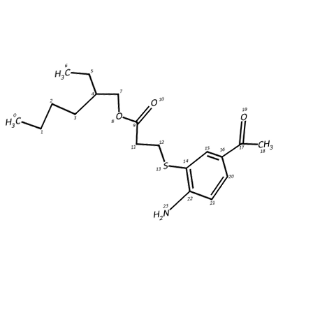 CCCCC(CC)COC(=O)CCSc1cc(C(C)=O)ccc1N